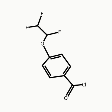 O=C(Cl)c1ccc(OC(F)C(F)F)cc1